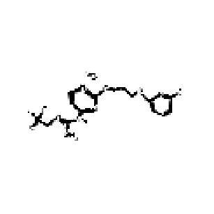 Cl.NC(=NCC(F)(F)F)Nc1ccnc(OCCCOc2cncc(Cl)n2)n1